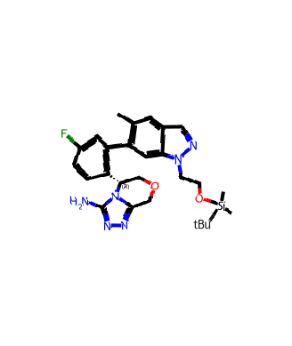 Cc1cc2cnn(CCO[Si](C)(C)C(C)(C)C)c2cc1-c1cc(F)ccc1[C@@H]1COCc2nnc(N)n21